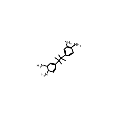 CC(C)(C1=CC(N)C(N)C=C1)C(C)(C)c1ccc(N)c(N)c1